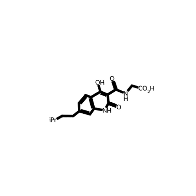 CC(C)CCc1ccc2c(O)c(C(=O)NCC(=O)O)c(=O)[nH]c2c1